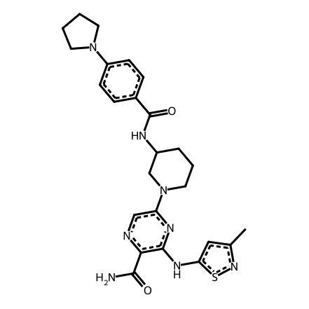 Cc1cc(Nc2nc(N3CCCC(NC(=O)c4ccc(N5CCCC5)cc4)C3)cnc2C(N)=O)sn1